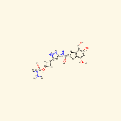 COc1cc(O)c(C=O)c2c1C[C@H](C(=O)Nc1cc(C3CC(OC(=O)N(C)N(C)C)C3)[nH]n1)C2